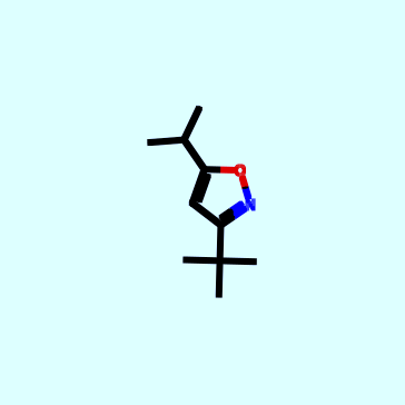 CC(C)c1cc(C(C)(C)C)no1